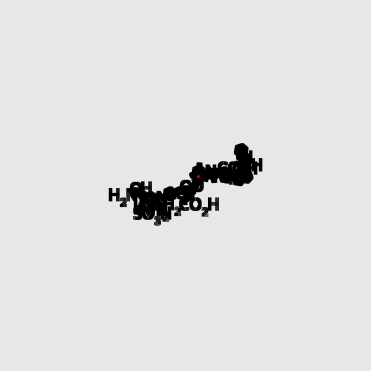 Cc1c(-c2ccc(N3CCc4cccc(C(=O)Nc5nc6ccccc6s5)c4C3)nc2C(=O)O)cnn1CC12CC3(C)CC(C)(C1)CC(OCCN(CCC(=O)O)C(=O)OCc1ccc(NC[C@H](CCCNC(N)=O)C(N)[C@@H](NC[C@@H](N)CS(=O)(=O)O)C(C)C)cc1)(C3)C2